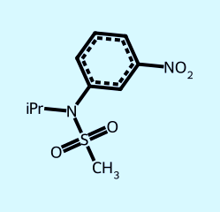 CC(C)N(c1cccc([N+](=O)[O-])c1)S(C)(=O)=O